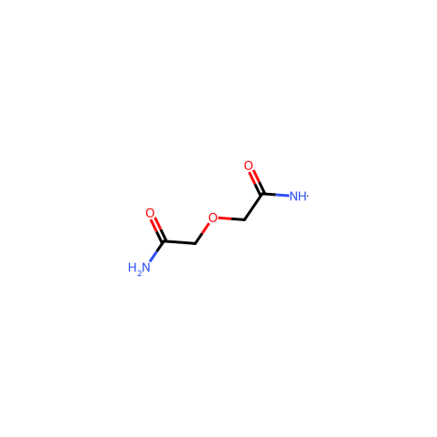 [NH]C(=O)COCC(N)=O